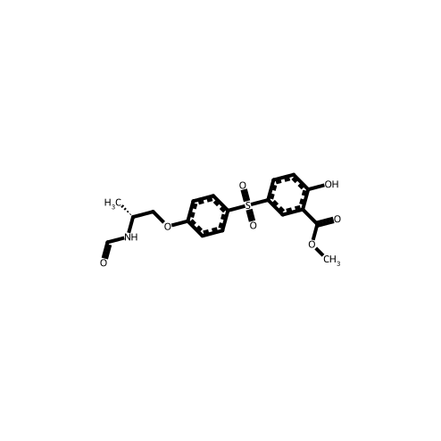 COC(=O)c1cc(S(=O)(=O)c2ccc(OC[C@@H](C)NC=O)cc2)ccc1O